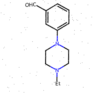 CCN1CCN(c2cccc(C=O)c2)CC1